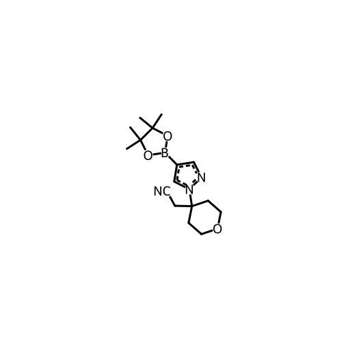 CC1(C)OB(c2cnn(C3(CC#N)CCOCC3)c2)OC1(C)C